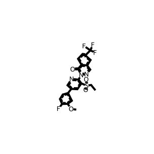 CCS(=O)(=O)c1cc(-c2ccc(F)c(OC)c2)cnc1-n1ncc2cc(C(F)(F)F)ccc2c1=O